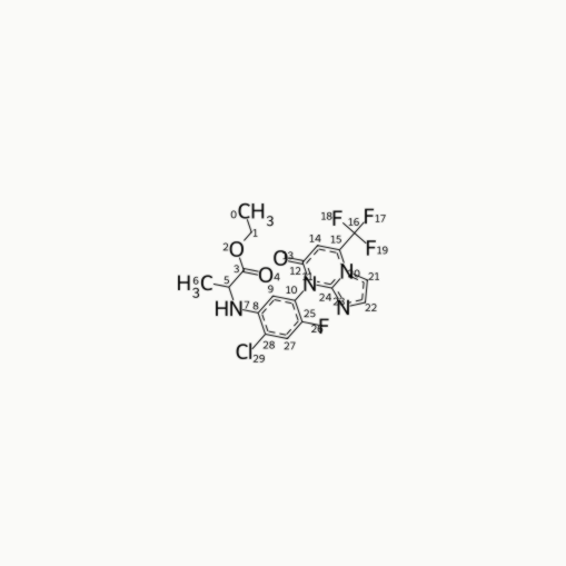 CCOC(=O)C(C)Nc1cc(-n2c(=O)cc(C(F)(F)F)n3ccnc23)c(F)cc1Cl